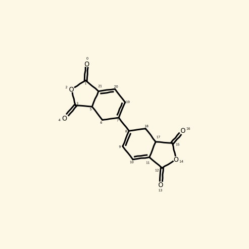 O=C1OC(=O)C2CC(C3=CC=C4C(=O)OC(=O)C4C3)=CC=C12